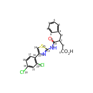 O=C(O)CC(Cc1ccccc1)C(=O)Nc1nc(-c2ccc(Cl)cc2Cl)cs1